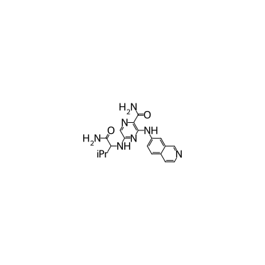 CC(C)C(Nc1cnc(C(N)=O)c(Nc2ccc3ccncc3c2)n1)C(N)=O